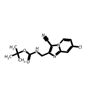 CC(C)(C)OC(=O)NCc1nc2cc(Cl)ccn2c1C#N